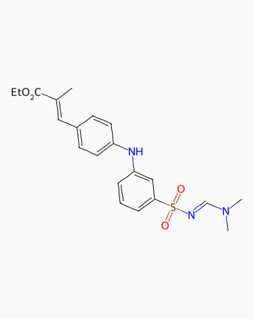 CCOC(=O)C(C)=Cc1ccc(Nc2cccc(S(=O)(=O)N=CN(C)C)c2)cc1